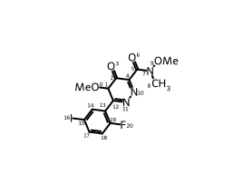 COC1C(=O)C(C(=O)N(C)OC)=NN=C1c1cc(I)ccc1F